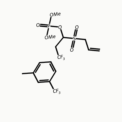 C=CCS(=O)(=O)C(CC(F)(F)F)OP(=O)(OC)OC.Cc1cccc(C(F)(F)F)c1